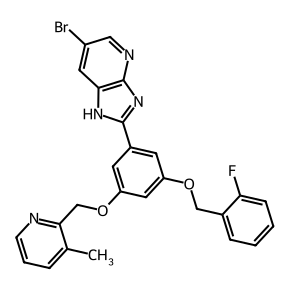 Cc1cccnc1COc1cc(OCc2ccccc2F)cc(-c2nc3ncc(Br)cc3[nH]2)c1